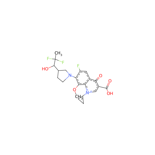 COc1c(N2CCC(C(O)C(C)(F)F)C2)c(F)cc2c(=O)c(C(=O)O)cn(C3CC3)c12